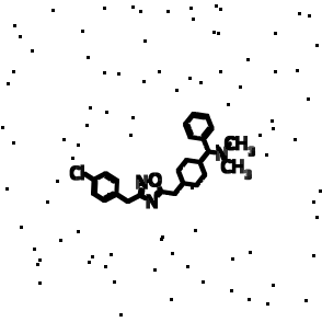 CN(C)C(c1ccccc1)C1CCC(Cc2nc(Cc3ccc(Cl)cc3)no2)CC1